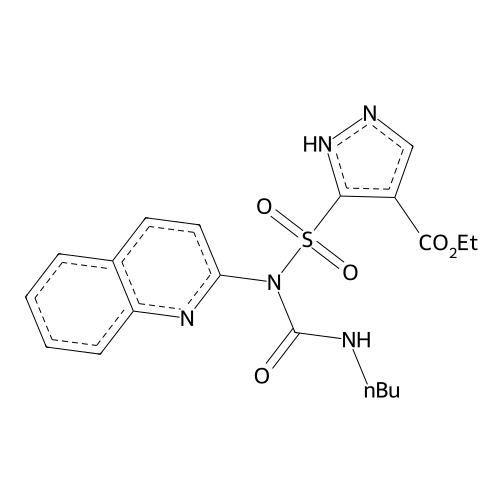 CCCCNC(=O)N(c1ccc2ccccc2n1)S(=O)(=O)c1[nH]ncc1C(=O)OCC